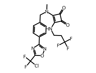 CN(Cc1ccc(-c2noc(C(F)(F)Cl)n2)cc1)c1c(NCCC(F)(F)F)c(=O)c1=O